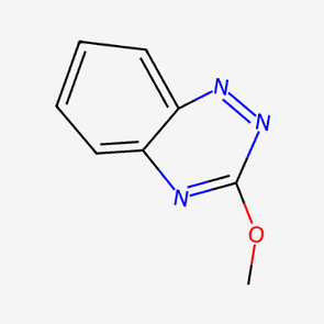 COc1nnc2ccccc2n1